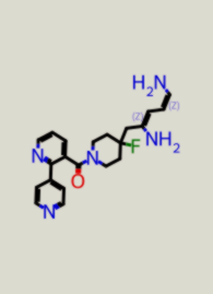 N/C=C\C=C(/N)CC1(F)CCN(C(=O)c2cccnc2-c2ccncc2)CC1